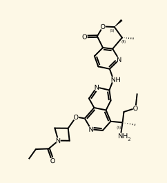 CCC(=O)N1CC(Oc2ncc([C@](C)(N)COC)c3cc(Nc4ccc5c(n4)[C@@H](C)[C@H](C)OC5=O)ncc23)C1